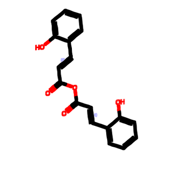 O=C(/C=C/c1ccccc1O)OC(=O)/C=C/c1ccccc1O